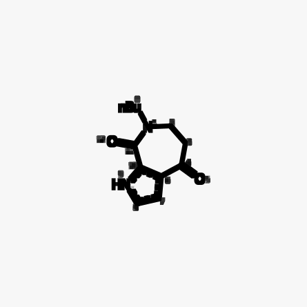 CCCCN1CCC(=O)c2cc[nH]c2C1=O